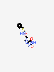 CN1C(=O)NC(=O)C2C1N=CN2CCONCSCc1ccccc1